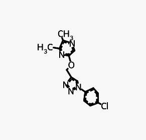 Cc1ncc(OCc2cn(-c3ccc(Cl)cc3)nn2)nc1C